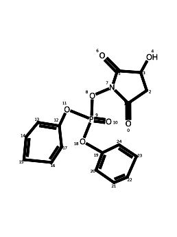 O=C1CC(O)C(=O)N1OP(=O)(Oc1ccccc1)Oc1ccccc1